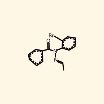 CC=NN(C(=O)c1ccccc1)c1ccccc1Br